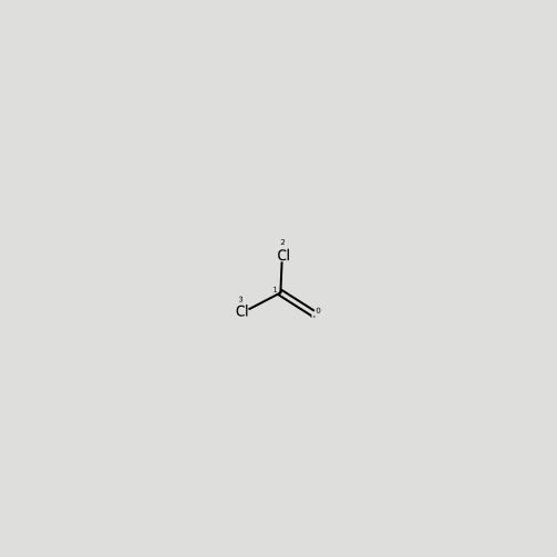 [C]=C(Cl)Cl